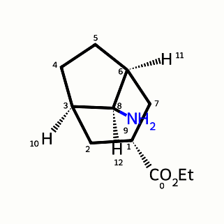 CCOC(=O)[C@@H]1C[C@H]2CC[C@@H](C1)[C@H]2N